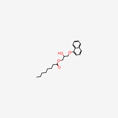 CCCCCCCC(=O)OCC(O)COc1cccc2ccccc12